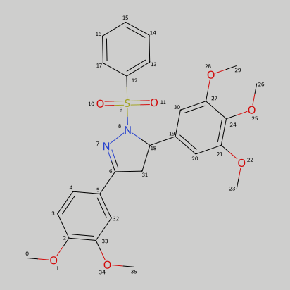 COc1ccc(C2=NN(S(=O)(=O)c3ccccc3)C(c3cc(OC)c(OC)c(OC)c3)C2)cc1OC